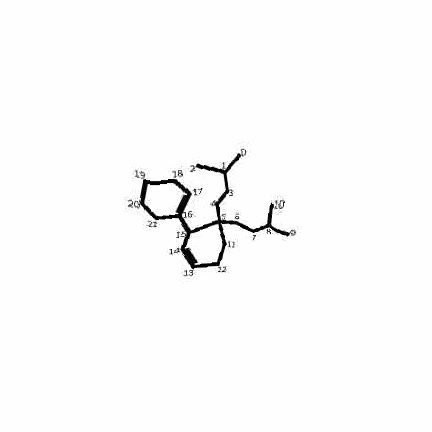 CC(C)CCC1(CCC(C)C)CCC=CC1C1=CCCCC1